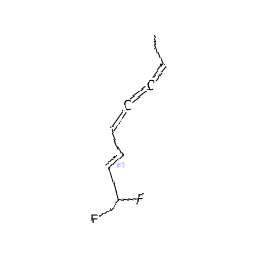 CC=C=C=C/C=C/C(F)F